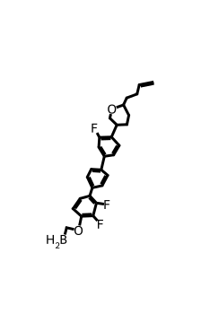 BCOc1ccc(-c2ccc(-c3ccc(C4CCC(CCC=C)OC4)c(F)c3)cc2)c(F)c1F